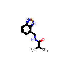 CC(C)C(=O)NCc1cccc2nsnc12